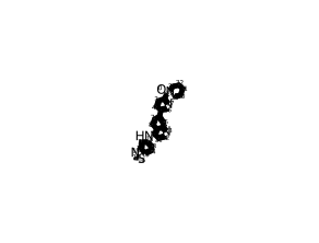 O=C(c1ccc(-c2ccc3c(Nc4ccc5scnc5c4)ccnc3c2)cn1)N1CCCCC1